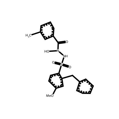 COc1ccc(S(=O)(=O)NN(O)C(=O)c2cccc(C)c2)c(Cc2ccccc2)c1